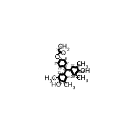 C=CC(=O)Oc1ccc(C(c2cc(C)c(O)c(C)c2)c2cc(C)c(O)c(C)c2)cc1